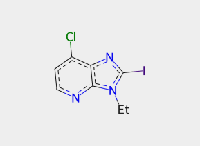 CCn1c(I)nc2c(Cl)ccnc21